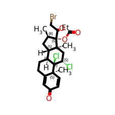 CCC(=O)O[C@@]1(C(=O)CBr)[C@H](C)C[C@H]2[C@@H]3CCC4=CC(=O)C=C[C@]4(C)[C@@]3(Cl)[C@@H](Cl)C[C@@]21C